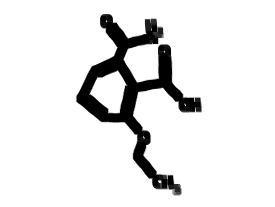 CCOc1cccc(C(N)=O)c1C(=O)O